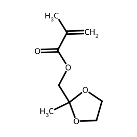 C=C(C)C(=O)OCC1(C)OCCO1